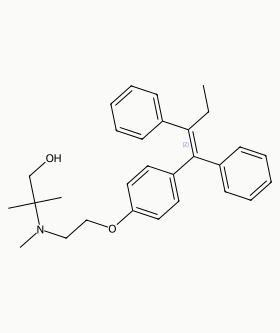 CC/C(=C(\c1ccccc1)c1ccc(OCCN(C)C(C)(C)CO)cc1)c1ccccc1